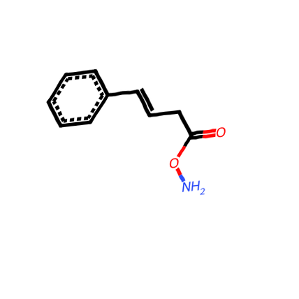 NOC(=O)CC=Cc1ccccc1